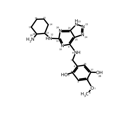 COc1cc(O)c(CNc2nc(NC3CCCCC3N)nc3[nH]nnc23)cc1O